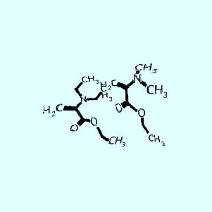 C=C(C(=O)OCC)N(C)C.C=C(C(=O)OCC)N(CC)CC